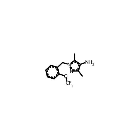 Cc1nn(Cc2ccccc2OC(F)(F)F)c(C)c1N